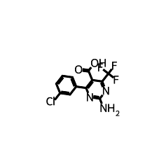 Nc1nc(-c2cccc(Cl)c2)c(C(=O)O)c(C(F)(F)F)n1